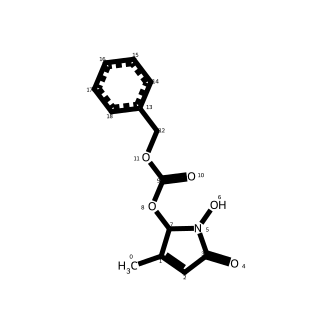 CC1=CC(=O)N(O)C1OC(=O)OCc1ccccc1